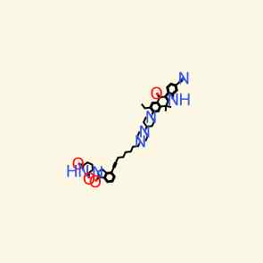 CCc1cc2c(cc1N1CCC(N3CCN(CCCCCCC#Cc4cccc5c4CN(C4CCC(=O)NC4=O)C5=O)CC3)CC1)C(C)(C)c1[nH]c3cc(C#N)ccc3c1C2=O